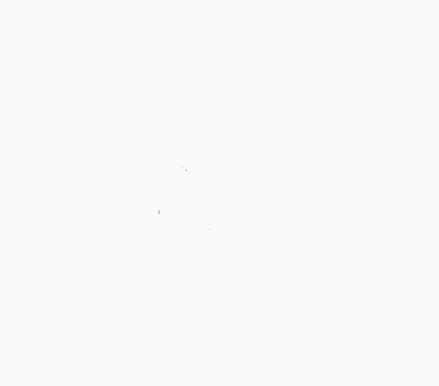 CCCC1(CCC)c2ccccc2CCN1C